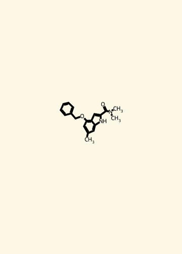 Cc1cc(OCc2ccccc2)c2cc(C(=O)N(C)C)[nH]c2c1